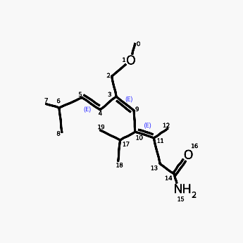 COCC(/C=C/C(C)C)=C/C(=C(\C)CC(N)=O)C(C)C